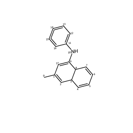 CC1=CC2C=CC=CC2C(NC2=CC=C=C=C2)=C1